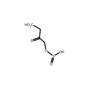 O=C(O)CC(=O)C[O][Ti](=[O])[OH]